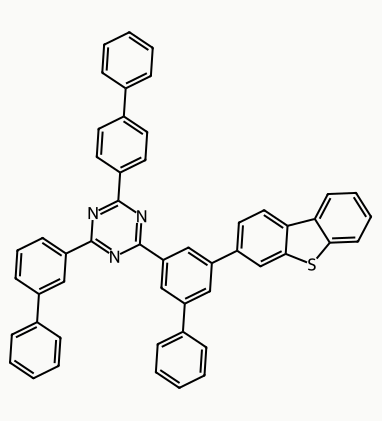 c1ccc(-c2ccc(-c3nc(-c4cccc(-c5ccccc5)c4)nc(-c4cc(-c5ccccc5)cc(-c5ccc6c(c5)sc5ccccc56)c4)n3)cc2)cc1